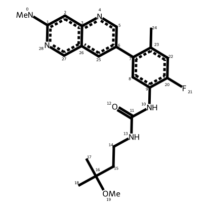 CNc1cc2ncc(-c3cc(NC(=O)NCCC(C)(C)OC)c(F)cc3C)cc2cn1